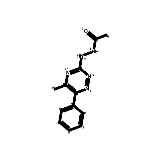 CC(=O)NNc1nnc(-c2ccccc2)c(C)n1